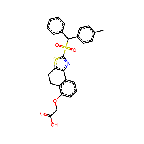 Cc1ccc(C(c2ccccc2)S(=O)(=O)c2nc3c(s2)CCc2c(OCC(=O)O)cccc2-3)cc1